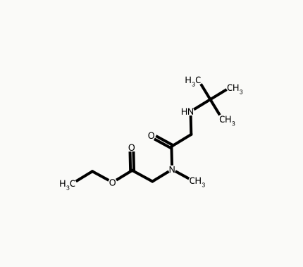 CCOC(=O)CN(C)C(=O)CNC(C)(C)C